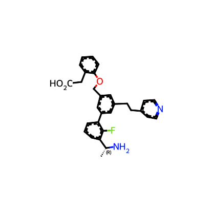 C[C@@H](N)c1cccc(-c2cc(CCc3ccncc3)cc(COc3ccccc3CC(=O)O)c2)c1F